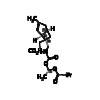 CC1=C[C@H]2[C@@H](C1)C[C@@]2(CNC(=O)O[C@@H](C)OC(=O)C(C)C)CC(=O)O